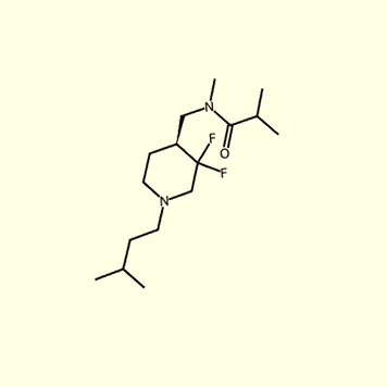 CC(C)CCN1CC[C@@H](CN(C)C(=O)C(C)C)C(F)(F)C1